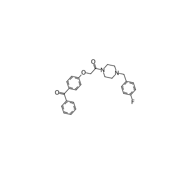 O=C(c1ccccc1)c1ccc(OCC(=O)N2CCN(Cc3ccc(F)cc3)CC2)cc1